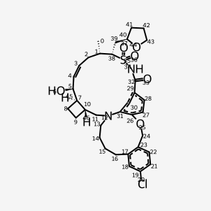 C[C@H]1C/C=C\[C@H](O)[C@@H]2CC[C@H]2CN2CCCCc3cc(Cl)ccc3COc3ccc(cc32)C(=O)NS(=O)(=O)[C@H]1C[C@H]1CCCO1